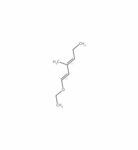 CC/C=C(C)/C=C/OCC